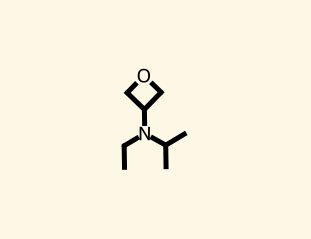 CCN(C(C)C)C1COC1